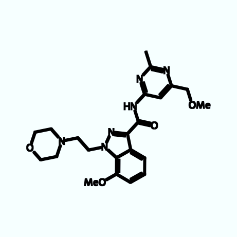 COCc1cc(NC(=O)c2nn(CCN3CCOCC3)c3c(OC)cccc23)nc(C)n1